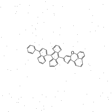 c1ccc(-c2ccc(-c3c4ccccc4c(-c4ccc5c(c4)Oc4cccc6cccc-5c46)c4ccccc34)c3ccccc23)cc1